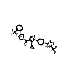 O=C(c1cnn(C2CCN(c3nnc(C(F)(F)F)[nH]3)CC2)c1C1CC1)N1CC[C@@H](c2ccccc2C(F)(F)F)C1